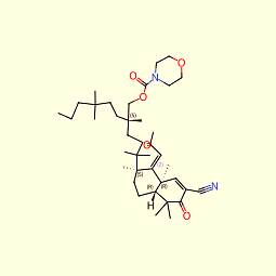 CCCC(C)(C)CC[C@@](C)(CCC(C)(C)[C@]1(C)CC[C@H]2C(C)(C)C(=O)C(C#N)=C[C@]2(C)/C1=C/C(C)=O)COC(=O)N1CCOCC1